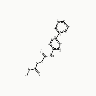 COC(=O)CCC(=O)Nc1ccc(-c2cccnc2)cn1